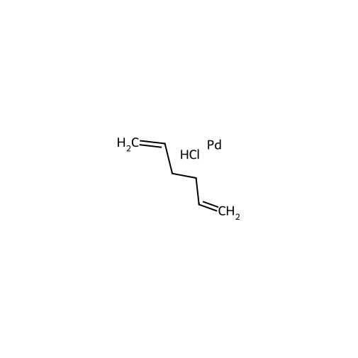 C=CCCC=C.Cl.[Pd]